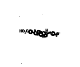 CC1C(C2=CC[C@@H](C(=O)O)CC2)=CCC2(C)C1CCC1(C)C3CCC4(NCCN5CCC([S+](C)[O-])CC5)CCC[C@@H]4C3CC[C@H]21